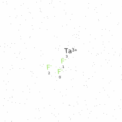 [F-].[F-].[F-].[Ta+3]